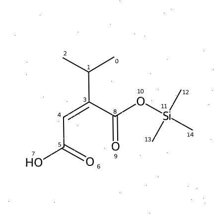 CC(C)C(=CC(=O)O)C(=O)O[Si](C)(C)C